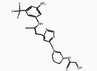 CC(Cc1cc(N2CCCC(NC(=O)CO)C2)ncn1)Nc1cc(N)cc(C(F)(F)F)c1